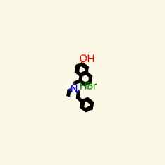 Br.CCN(CCc1ccccc1)CC1CCCc2cc(O)ccc21